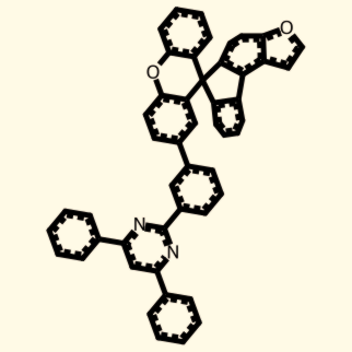 c1ccc(-c2cc(-c3ccccc3)nc(-c3cccc(-c4ccc5c(c4)C4(c6ccccc6O5)c5ccccc5-c5c4ccc4occc54)c3)n2)cc1